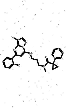 CN(CCCNc1cc(-c2ccccc2Cl)nc2c(Br)cnn12)C(=O)C1(c2ccccc2)CC1